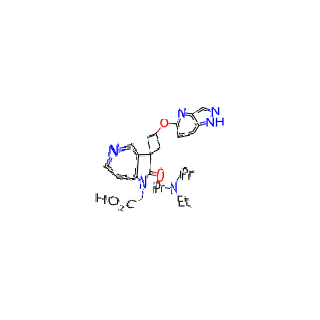 CCN(C(C)C)C(C)C.O=C(O)CN1C(=O)C2(CC(Oc3ccc4[nH]ncc4n3)C2)c2cnccc21